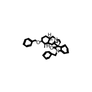 C[C@@H]1[C@H]2C[C@@H]3N(CC[C@@]34C(=O)N(Cc3ccccc3)c3ccccc34)C[C@@H]2CC[C@@H]1OCc1ccccc1